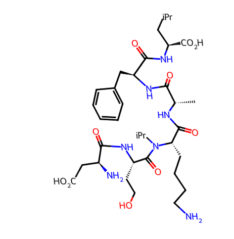 CC(C)C[C@H](NC(=O)[C@H](Cc1ccccc1)NC(=O)[C@H](C)NC(=O)[C@H](CCCCN)N(C(=O)[C@H](CCO)NC(=O)[C@@H](N)CC(=O)O)C(C)C)C(=O)O